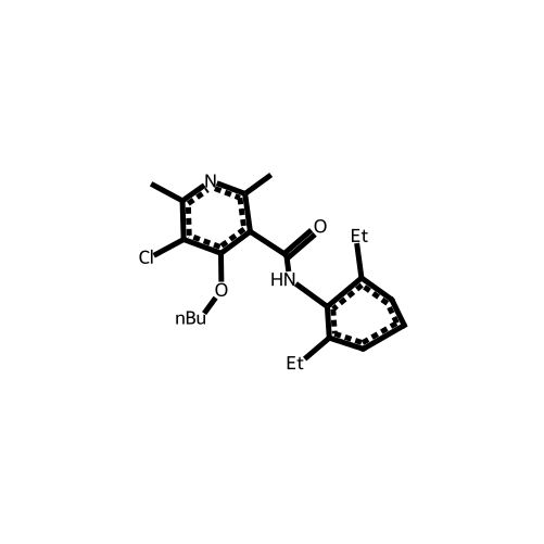 CCCCOc1c(Cl)c(C)nc(C)c1C(=O)Nc1c(CC)cccc1CC